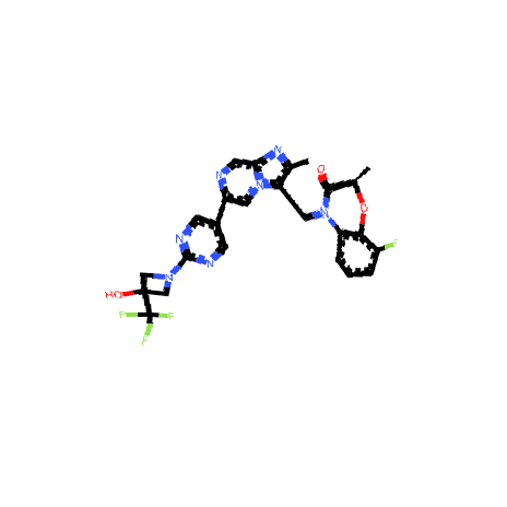 Cc1nc2cnc(-c3cnc(N4CC(O)(C(F)(F)F)C4)nc3)cn2c1CN1C(=O)[C@@H](C)Oc2c(F)cccc21